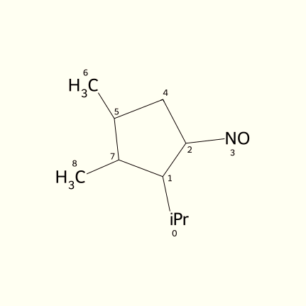 CC(C)C1C(N=O)CC(C)C1C